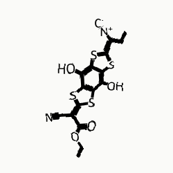 [C-]#[N+]C(CC)=C1Sc2c(O)c3c(c(O)c2S1)SC(=C(C#N)C(=O)OCC)S3